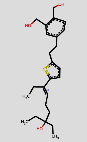 CC/C(=C\CCC(O)(CC)CC)c1ccc(CCc2ccc(CO)c(CO)c2)s1